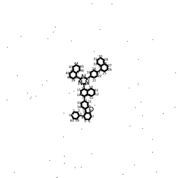 c1ccc(-c2cccc3oc4cc(-c5ccc(-c6nc(-c7ccc(-c8cccc9ccccc89)cc7)nc(-c7cccc8ccccc78)n6)c6ccccc56)ccc4c23)cc1